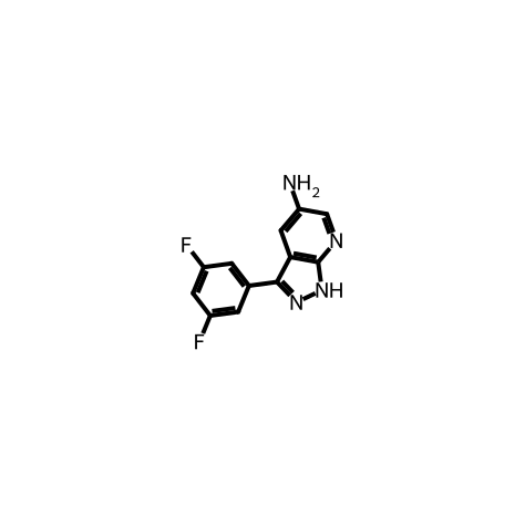 Nc1cnc2[nH]nc(-c3cc(F)cc(F)c3)c2c1